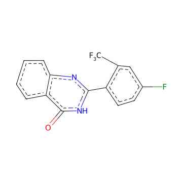 O=c1[nH]c(-c2ccc(F)cc2C(F)(F)F)nc2ccccc12